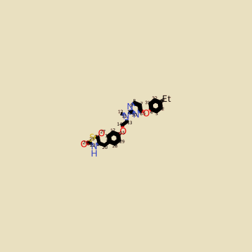 CCc1ccc(Oc2ccnc(N(C)CCOc3ccc(CC4NC(=O)SC4=O)cc3)n2)cc1